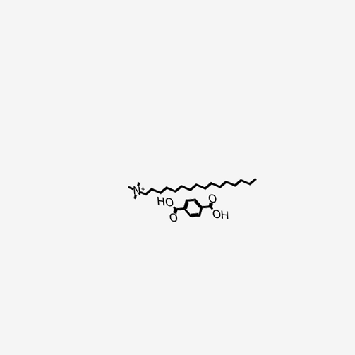 CCCCCCCCCCCCCCCC[N+](C)(C)C.O=C(O)c1ccc(C(=O)O)cc1